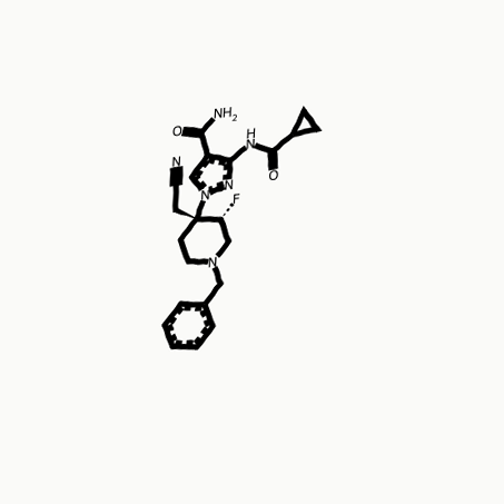 N#CC[C@]1(n2cc(C(N)=O)c(NC(=O)C3CC3)n2)CCN(Cc2ccccc2)C[C@H]1F